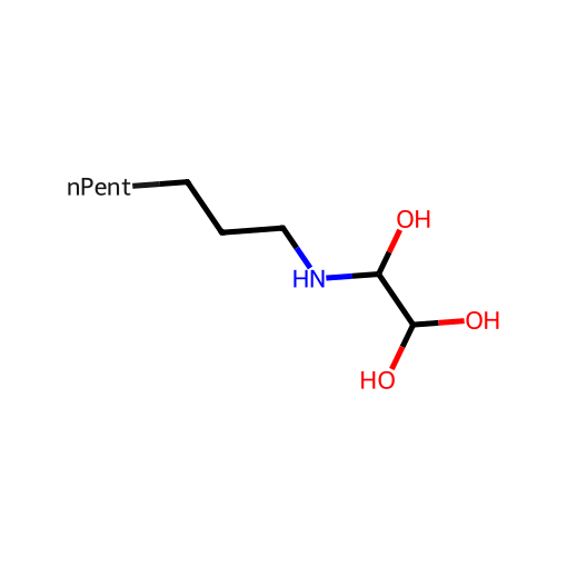 CCCCCCCCNC(O)C(O)O